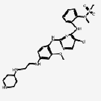 COc1cc(NCCNC2CCNCC2)ccc1Nc1ncc(Cl)c(Nc2ccccc2N(C)S(C)(=O)=O)n1